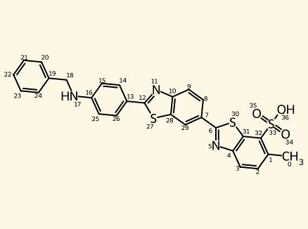 Cc1ccc2nc(-c3ccc4nc(-c5ccc(NCc6ccccc6)cc5)sc4c3)sc2c1S(=O)(=O)O